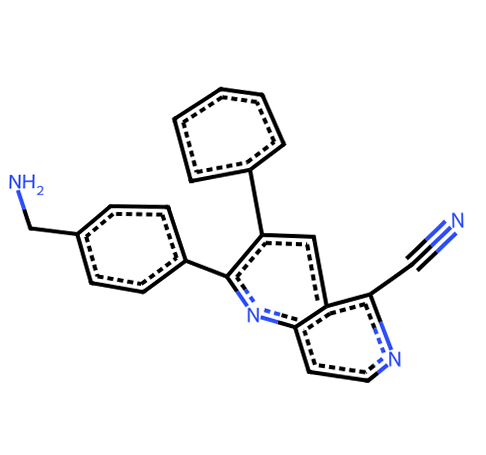 N#Cc1nccc2nc(-c3ccc(CN)cc3)c(-c3ccccc3)cc12